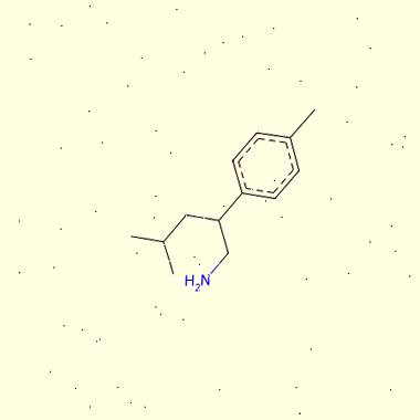 Cc1ccc(C(CN)CC(C)C)cc1